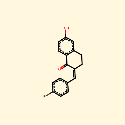 O=C1C(=Cc2ccc(Br)cc2)CCc2cc(O)ccc21